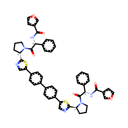 O=C(N[C@H](C(=O)N1CCC[C@H]1c1ncc(-c2ccc(-c3ccc(-c4cnc([C@@H]5CCCN5C(=O)[C@H](NC(=O)c5ccoc5)c5ccccc5)s4)cc3)cc2)s1)c1ccccc1)c1ccoc1